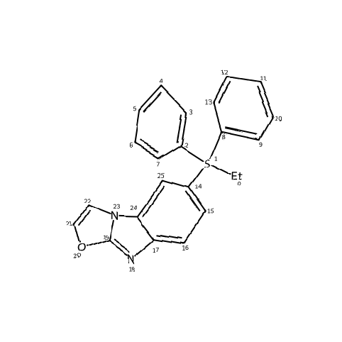 CCS(c1ccccc1)(c1ccccc1)c1ccc2nc3occn3c2c1